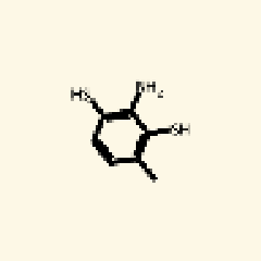 Cc1ccc(S)c(N)c1S